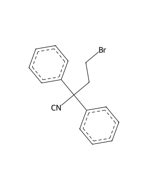 [C-]#[N+]C(CCBr)(c1ccccc1)c1ccccc1